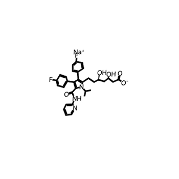 CC(C)n1c(CC[C@@H](O)C[C@@H](O)CC(=O)[O-])c(-c2ccc(F)cc2)c(-c2ccc(F)cc2)c1C(=O)Nc1ccccn1.[Na+]